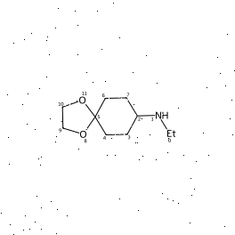 CCNC1CCC2(CC1)OCCO2